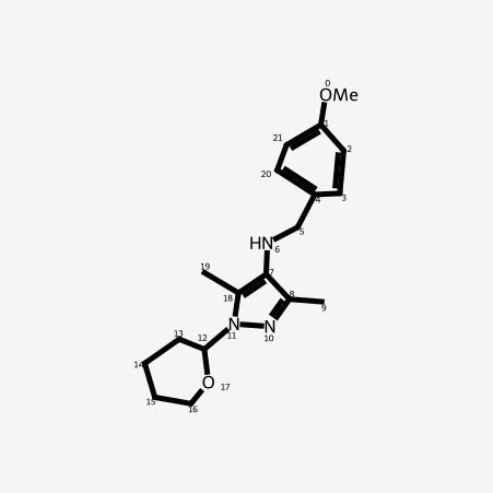 COc1ccc(CNc2c(C)nn(C3CCCCO3)c2C)cc1